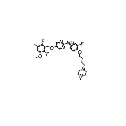 COc1cc(C)c(F)c(COc2cnc(Nc3ccc(OCCCCN4CCN(C)CC4)c(F)c3)nc2)c1F